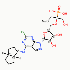 COCC(CO)(OC[C@H]1O[C@@H](n2ncc3c(N[C@@H]4CC[C@H]5CCC[C@H]54)nc(Cl)nc32)[C@H](O)[C@@H]1O)P(=O)(O)O